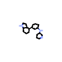 [c]1cc(Nc2cccnc2)cc(-c2cccc3[nH]ccc23)c1